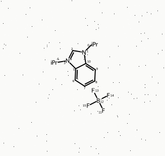 CC(C)n1c[n+](C(C)C)c2ccccc21.F[B-](F)(F)F